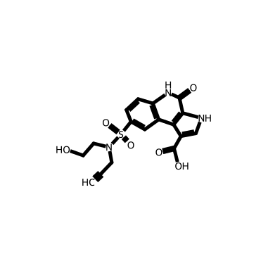 C#CCN(CCO)S(=O)(=O)c1ccc2[nH]c(=O)c3[nH]cc(C(=O)O)c3c2c1